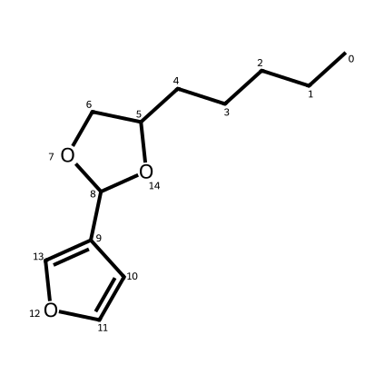 CCCCCC1COC(c2ccoc2)O1